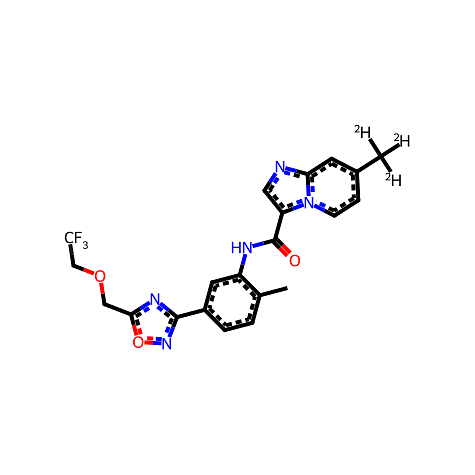 [2H]C([2H])([2H])c1ccn2c(C(=O)Nc3cc(-c4noc(COCC(F)(F)F)n4)ccc3C)cnc2c1